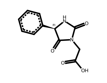 O=C(O)CN1C(=O)N[C@H](c2ccccc2)C1=O